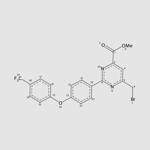 COC(=O)c1cc(CBr)nc(-c2ccc(Oc3ccc(C(F)(F)F)cc3)cc2)n1